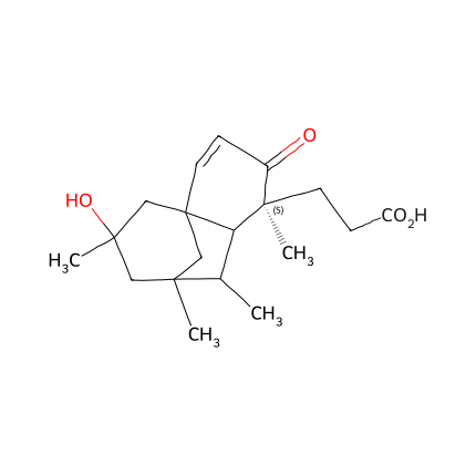 CC1C2C3(C=CC(=O)[C@@]2(C)CCC(=O)O)CC(C)(O)CC1(C)C3